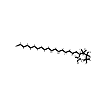 CCCCCCCCCCCCCCCCCCC1C(C)(C)C(C)(C)C(C)(C)O[Si]1(C)C